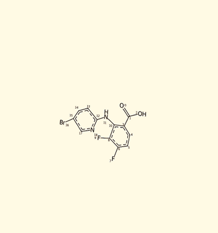 O=C(O)c1ccc(F)c(F)c1Nc1ccc(Br)cn1